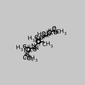 CCc1cc(-c2noc(-c3cc(C)nc(N(CC)CC)c3)n2)cc(C)c1OC[C@@H](O)CN1CCC(C(=O)OC)C1